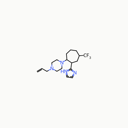 C=CCN1CCN(C2CCCC(C(F)(F)F)CC2c2ncc[nH]2)CC1